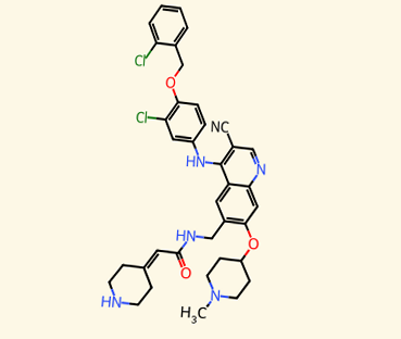 CN1CCC(Oc2cc3ncc(C#N)c(Nc4ccc(OCc5ccccc5Cl)c(Cl)c4)c3cc2CNC(=O)C=C2CCNCC2)CC1